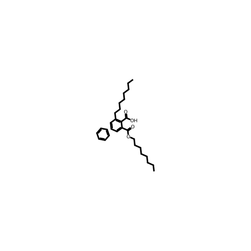 CCCCCCCCOC(=O)c1cccc(CCCCCCCC)c1C(=O)O.c1ccccc1